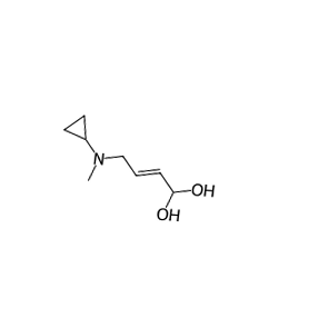 CN(C/C=C/C(O)O)C1CC1